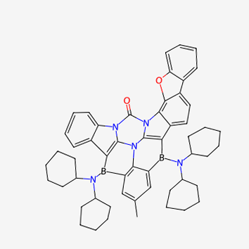 Cc1cc2c3c(c1)B(N(C1CCCCC1)C1CCCCC1)c1c4ccc5c6ccccc6oc5c4n4c(=O)n5c6ccccc6c(c5n-3c14)B2N(C1CCCCC1)C1CCCCC1